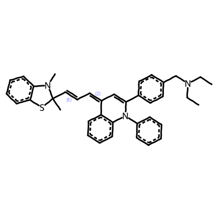 CCN(CC)Cc1ccc(C2=C/C(=C/C=C/C3(C)Sc4ccccc4N3C)c3ccccc3N2c2ccccc2)cc1